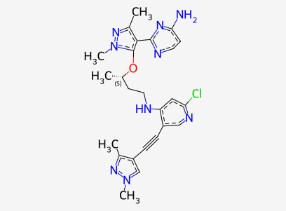 Cc1nn(C)cc1C#Cc1cnc(Cl)cc1NCC[C@H](C)Oc1c(-c2nccc(N)n2)c(C)nn1C